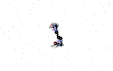 COC(=O)N[C@H](C(=O)N1[C@@H]2C[C@H]2C[C@H]1c1nc2cc(CCc3ccc4c(ccc5nc([C@@H]6C[C@H]7C[C@H]7N6C(=O)[C@@H](NC(=O)O)C6CCOCC6)[nH]c54)c3)ccc2[nH]1)C(C)C